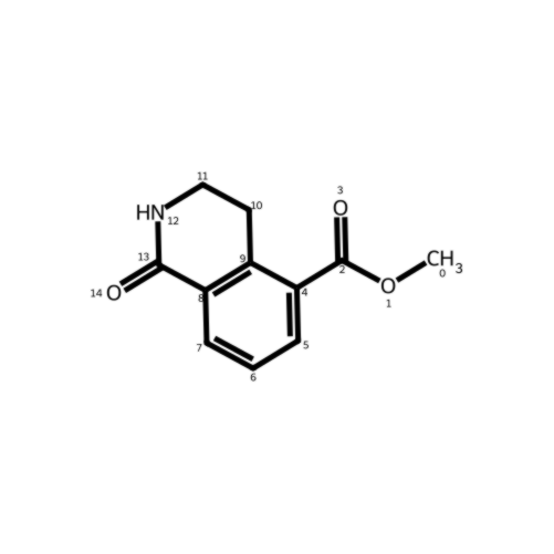 COC(=O)c1cccc2c1CCNC2=O